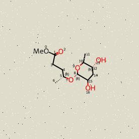 COC(=O)CC[C@@H](C)O[C@@H]1OC(C)[C@H](O)CC1O